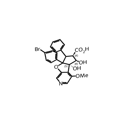 COc1cncc2c1[C@]1(O)[C@H](O)[C@H](C(=O)O)C(c3ccccc3)C1(c1ccc(Br)cc1)O2